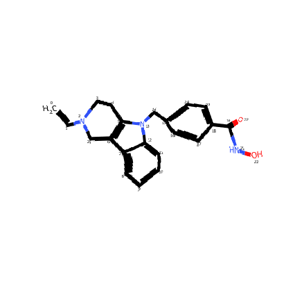 C=CN1CCc2c(c3ccccc3n2Cc2ccc(C(=O)NO)cc2)C1